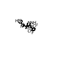 Cc1oc2c(O[C@H](C)c3c(Cl)ccc(F)c3Cl)c(N)ncc2c1-c1cnn(C2CCNCC2)c1